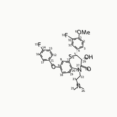 COc1ccc([C@H]2Sc3cc(Oc4ccc(F)cc4)ccc3N(CCN(C)C)C(=O)[C@H]2O)cc1F